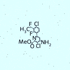 COC(=O)c1nc(-c2ccc(Cl)c(C(C)F)c2F)cc(N)c1Cl